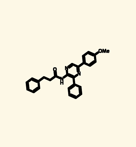 COc1ccc(-c2cnc(NC(=O)CCc3ccccc3)c(-c3ccccc3)n2)cc1